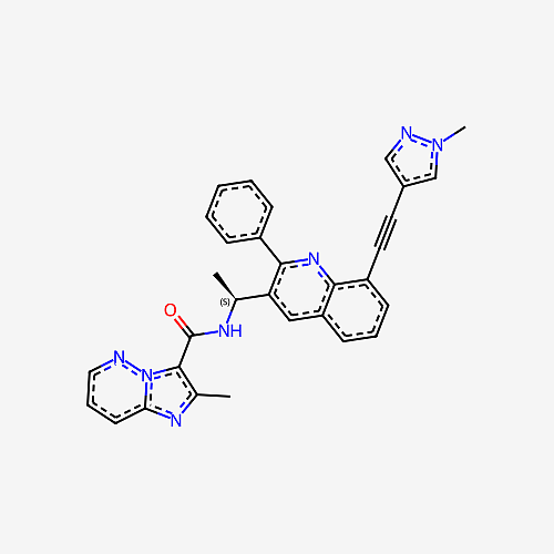 Cc1nc2cccnn2c1C(=O)N[C@@H](C)c1cc2cccc(C#Cc3cnn(C)c3)c2nc1-c1ccccc1